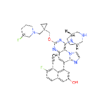 C#Cc1c(F)ccc2cc(O)cc(-c3cc4nc(OCC5(CN6CCC[C@H](F)C6)CC5)nc(N5[C@@H]6CC[C@H]5CNC6)c4n4ccnc34)c12